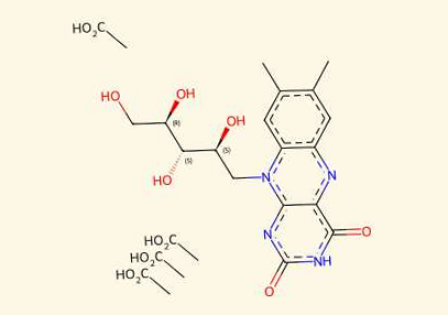 CC(=O)O.CC(=O)O.CC(=O)O.CC(=O)O.Cc1cc2nc3c(=O)[nH]c(=O)nc-3n(C[C@H](O)[C@H](O)[C@H](O)CO)c2cc1C